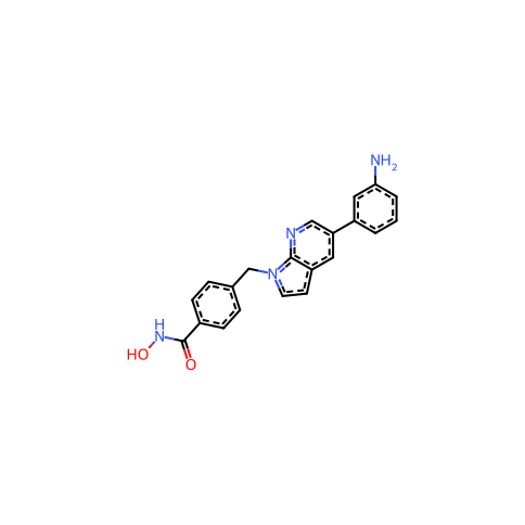 Nc1cccc(-c2cnc3c(ccn3Cc3ccc(C(=O)NO)cc3)c2)c1